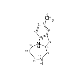 Cc1ccc2c(c1)CC1CNCCCN21